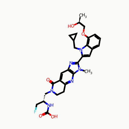 C[C@H](O)COc1cccc2cc(-c3nc4cc5c(nc4n3C)CCN(C[C@@H](CF)NC(=O)O)C5=O)n(CC3CC3)c12